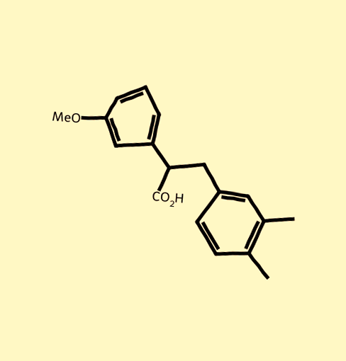 COc1cccc(C(Cc2ccc(C)c(C)c2)C(=O)O)c1